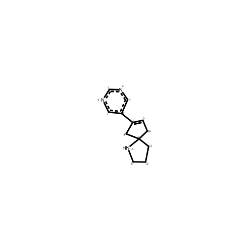 C1=C(c2cncnc2)CC2(C1)CCCN2